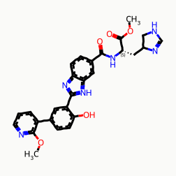 COC(=O)[C@H](CC1CNC=N1)NC(=O)c1ccc2nc(-c3cc(-c4cccnc4OC)ccc3O)[nH]c2c1